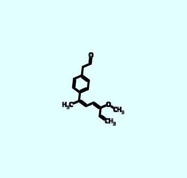 C=C/C(=C\C=C(\C)c1ccc(CC=O)cc1)OC